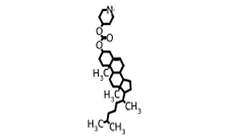 CC(C)CCCC(C)C1CCC2C3CC=C4CC(OC(=O)OC5CC[N]CC5)CCC4(C)C3CCC12C